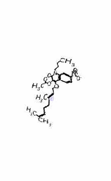 CCCCn1c(=O)c(OC(C)=O)c(OC/C=C(\C)CCC=C(C)C)c2ccc([N+](=O)[O-])cc21